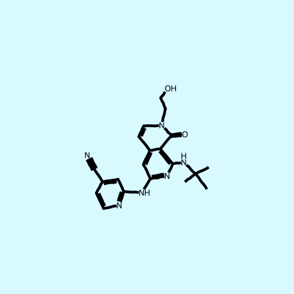 CC(C)(C)Nc1nc(Nc2cc(C#N)ccn2)cc2ccn(CCO)c(=O)c12